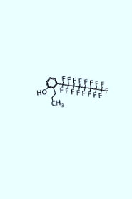 CCCc1c(O)cccc1C(F)(F)C(F)(F)C(F)(F)C(F)(F)C(F)(F)C(F)(F)C(F)(F)C(F)(F)F